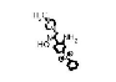 CN1CCN(CC(=NO)c2ccc(S(=O)(=O)c3ccccc3)cc2N)CC1